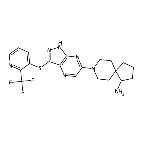 NC1CCCC12CCN(c1cnc3c(Sc4cccnc4C(F)(F)F)n[nH]c3n1)CC2